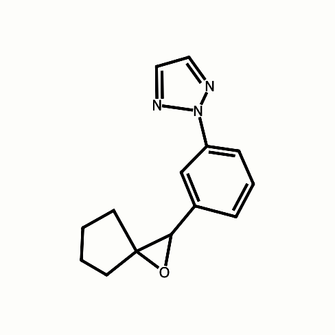 c1cc(C2OC23CCCC3)cc(-n2nccn2)c1